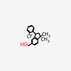 CC1(C)CC(c2ccccc2C(F)(F)F)c2cc(CO)ccc21